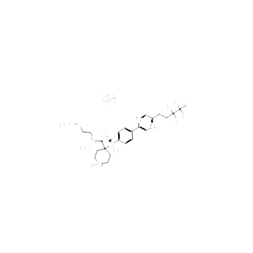 COCCN(O)C(=O)C1(S(=O)(=O)c2ccc(-c3cnc(CCC(F)(F)C(F)(F)F)cn3)cc2)CCNCC1.Cl.Cl